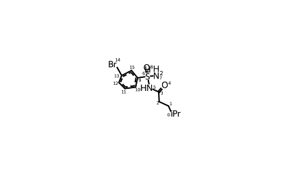 CC(C)CCC(=O)N[SH](N)(=O)c1cccc(Br)c1